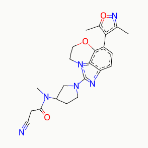 Cc1noc(C)c1-c1ccc2nc(N3CCC(N(C)C(=O)CC#N)C3)n3c2c1OCC3